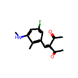 CNc1cc(F)cc(C=C(C(C)=O)C(C)=O)c1C